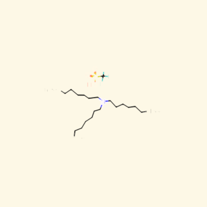 CCCCCCCCCCCCCCCCN(CCCCCCCCCCCCCCCC)CCCCCCCCCCCCCCCC.O=S(=O)(O)C(F)(F)F